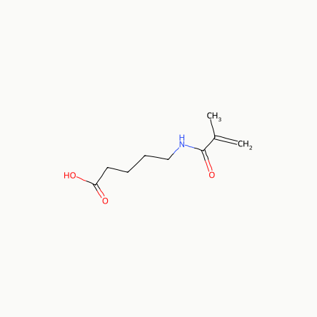 C=C(C)C(=O)NCCCCC(=O)O